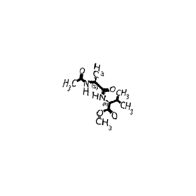 COC(=O)[C@H](NC(=O)[C@H](C)NC(C)=O)C(C)C